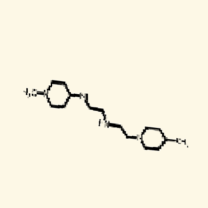 CC1CCN(CCNCCNC2CCN(C)CC2)CC1